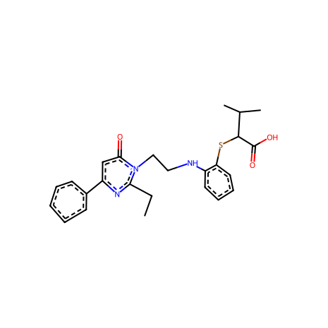 CCc1nc(-c2ccccc2)cc(=O)n1CCNc1ccccc1SC(C(=O)O)C(C)C